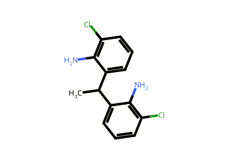 CC(c1cccc(Cl)c1N)c1cccc(Cl)c1N